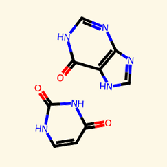 O=c1[nH]cnc2nc[nH]c12.O=c1cc[nH]c(=O)[nH]1